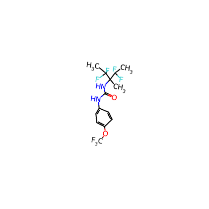 CC(F)(F)C(C)(NC(=O)Nc1ccc(OC(F)(F)F)cc1)C(C)(F)F